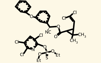 CC1(C)C(C=C(Cl)Cl)C1C(=O)O[C@H](C#N)c1cccc(Oc2ccccc2)c1.CCOP(=S)(OCC)Oc1nc(Cl)c(Cl)cc1Cl